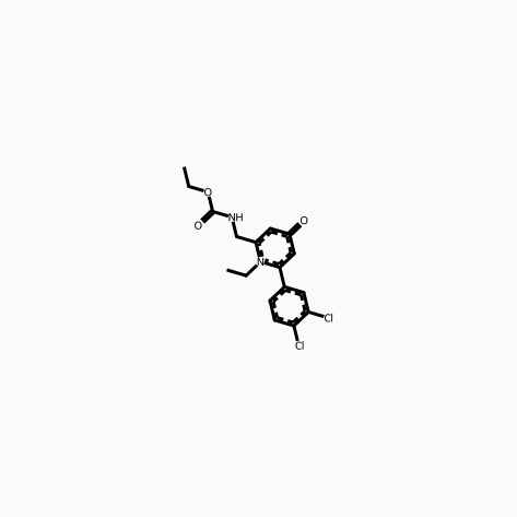 CCOC(=O)NCc1cc(=O)cc(-c2ccc(Cl)c(Cl)c2)n1CC